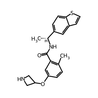 Cc1ccc(OC2CNC2)cc1C(=O)N[C@H](C)c1ccc2sccc2c1